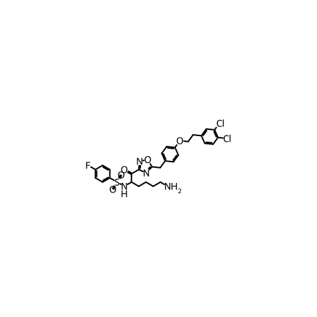 NCCCCC(NS(=O)(=O)c1ccc(F)cc1)C(=O)c1noc(Cc2ccc(OCCc3ccc(Cl)c(Cl)c3)cc2)n1